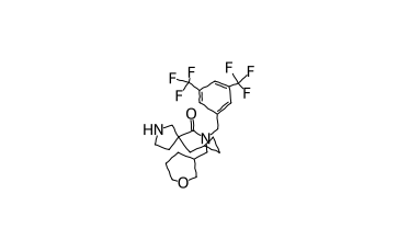 O=C(N(Cc1cc(C(F)(F)F)cc(C(F)(F)F)c1)CC1CCCOC1)C1(CC2CC2)CCNC1